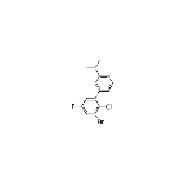 CC(C)c1cccc(-c2cc(F)cc(Br)c2Cl)c1